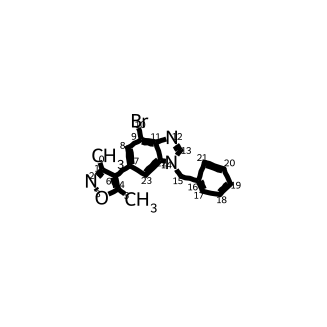 Cc1noc(C)c1-c1cc(Br)c2ncn(Cc3ccccc3)c2c1